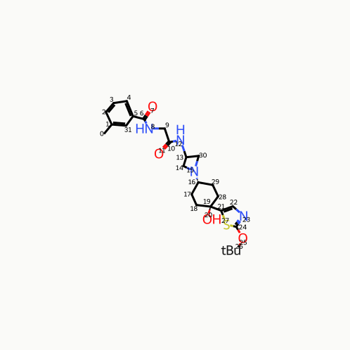 Cc1cccc(C(=O)NCC(=O)NC2CN([C@H]3CC[C@@](O)(c4cnc(OC(C)(C)C)s4)CC3)C2)c1